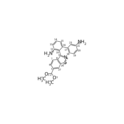 COC(OC)c1ccc2c(-c3c(N)cccc3-c3cccc(N)c3)nsc2c1